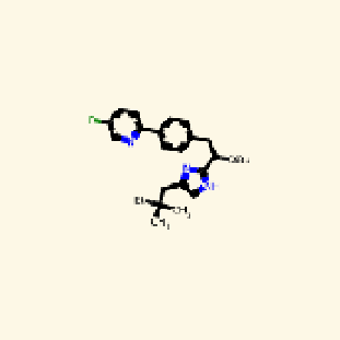 CCC(C)(C)Cc1c[nH]c(C(Cc2ccc(-c3ccc(F)cn3)cc2)OCC(C)C)n1